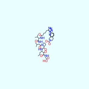 CCCC(NC(=O)[C@@H]1C[C@@H](OC(=O)N2CCc3ccccc3C2)CN1C(=O)[C@@H](NC(=O)[C@H](NC(=O)CCCCc1nnn[nH]1)C(C)C)C(C)C)C(=O)C(=O)NCC(=O)O